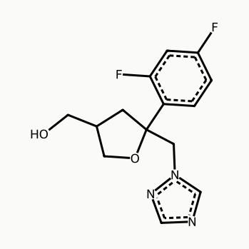 OCC1COC(Cn2cncn2)(c2ccc(F)cc2F)C1